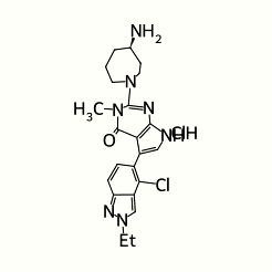 CCn1cc2c(Cl)c(-c3c[nH]c4nc(N5CCC[C@@H](N)CC5)n(C)c(=O)c34)ccc2n1.Cl